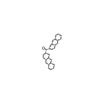 O=C(c1ccc2cc3ccccc3cc2c1)c1ccc2cc3ccccc3cc2c1